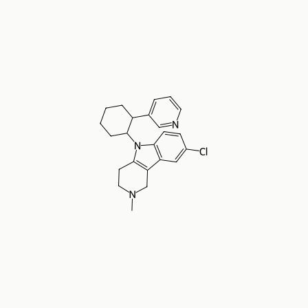 CN1CCc2c(c3cc(Cl)ccc3n2C2CCCCC2c2cccnc2)C1